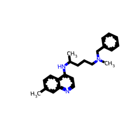 Cc1ccc2c(NC(C)CCCN(C)Cc3ccccc3)ccnc2c1